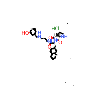 CC(C)(C)C(=O)N(C(=O)[C@@H]1CCCN1)[C@H](Cc1ccc2ccccc2c1)C(=O)NCCCNCc1cccc(O)c1.Cl